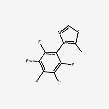 [CH2]c1scnc1-c1c(F)c(F)c(F)c(F)c1F